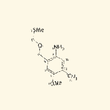 COc1cc(COCSC)c(N)cc1C